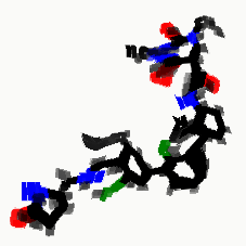 COc1cc(-c2cccc(-c3cccc(NC(=O)c4cn(C)c(=O)n(C)c4=O)c3C)c2F)cc(F)c1CNC[C@@H]1CCC(=O)N1